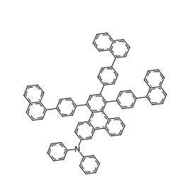 c1ccc(N(c2ccccc2)c2ccc3c(c2)c2ccccc2c2c(-c4ccc(-c5cccc6ccccc56)cc4)c(-c4ccc(-c5cccc6ccccc56)cc4)cc(-c4ccc(-c5cccc6ccccc56)cc4)c32)cc1